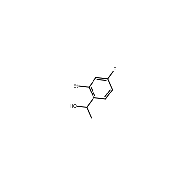 CCc1cc(F)ccc1C(C)O